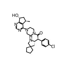 C[C@@H]1C[C@@H](O)c2ncnc(N3CCN(C(=O)[C@@H](c4ccc(Cl)cc4)[C@@H]4CC5(CCCC5)CN4)CC3)c21